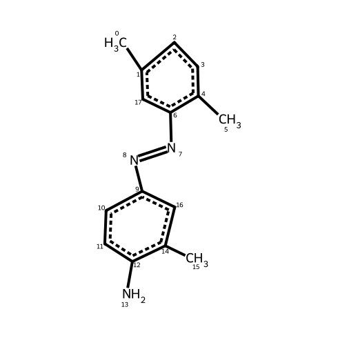 Cc1ccc(C)c(/N=N/c2ccc(N)c(C)c2)c1